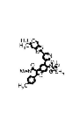 CNC(=O)c1c(-c2ccc(C)cc2)oc2cc(N(C)S(C)(=O)=O)c(-c3cncc(-c4nc5c(s4)COC(C)(C)C5)c3)cc12